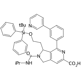 CC(C)NC(=O)N1Cc2cc(C(=O)O)nc(-c3cccc(-c4cccnc4)c3)c2C1CCO[Si](c1ccccc1)(c1ccccc1)C(C)(C)C